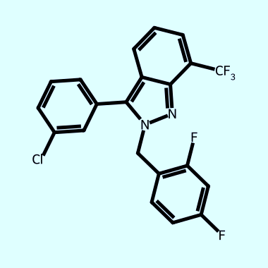 Fc1ccc(Cn2nc3c(C(F)(F)F)cccc3c2-c2cccc(Cl)c2)c(F)c1